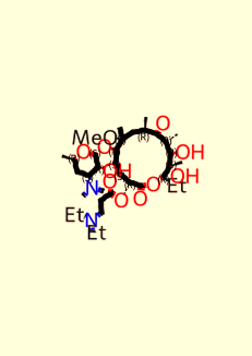 CC[C@H]1OC(=O)[C@H](C)[C@@H](OC(=O)CCN(CC)CC)[C@H](C)[C@@H](O[C@@H]2O[C@H](C)C[C@H](N(C)C)[C@H]2O)[C@](C)(OC)C[C@@H](C)C(=O)[C@H](C)[C@@H](O)[C@]1(C)O